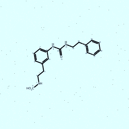 O=C(O)NCCc1cccc(NC(=O)NCCc2ccccc2)c1